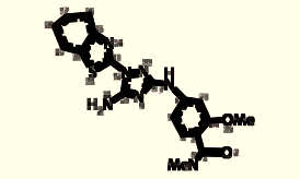 CNC(=O)c1ccc(Nc2nc(N)n(-c3nc4ccccc4s3)n2)cc1OC